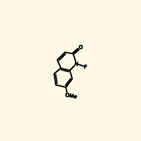 COc1ccc2ccc(=O)n(F)c2c1